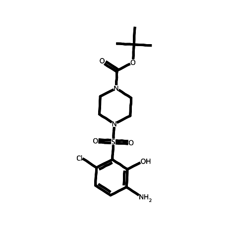 CC(C)(C)OC(=O)N1CCN(S(=O)(=O)c2c(Cl)ccc(N)c2O)CC1